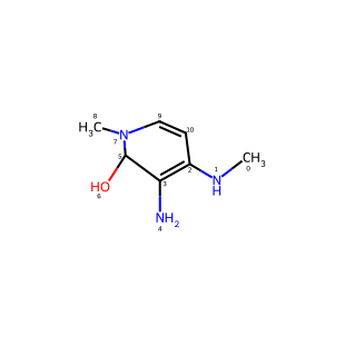 CNC1=C(N)C(O)N(C)C=C1